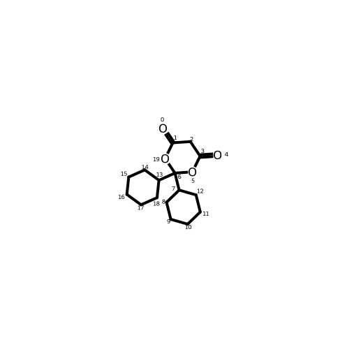 O=C1CC(=O)OC(C2CCCCC2)(C2CCCCC2)O1